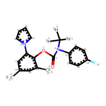 [2H]C([2H])([2H])N(C(=O)Oc1c(-n2cccc2)cc(C(F)(F)F)cc1C(F)(F)F)c1ccc(F)cc1